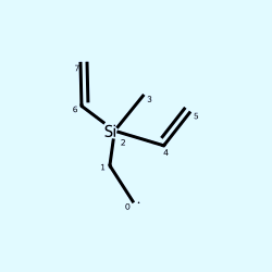 [CH2]C[Si](C)(C=C)C=C